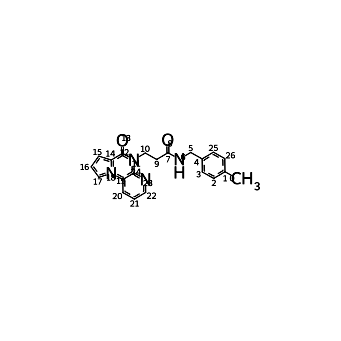 Cc1ccc(CNC(=O)CCn2c(=O)c3cccn3c3cccnc32)cc1